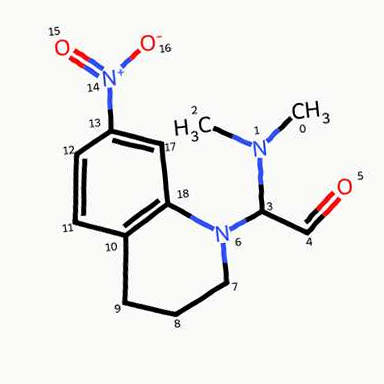 CN(C)C(C=O)N1CCCc2ccc([N+](=O)[O-])cc21